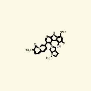 CNc1cc(F)c(C#N)c2c1[nH]c1ncc(-c3ccc4ccc(C(=O)O)c(=O)n4c3)c(N3CC4CCN(C)C4C3)c12